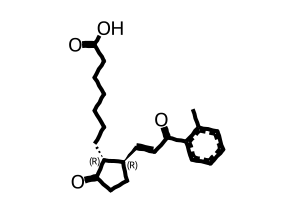 Cc1ccccc1C(=O)C=C[C@H]1CCC(=O)[C@@H]1CCCCCCC(=O)O